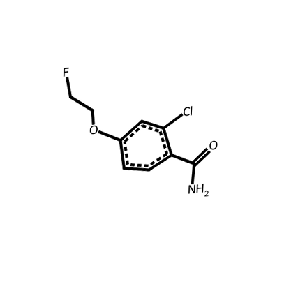 NC(=O)c1ccc(OCCF)cc1Cl